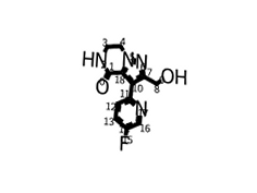 O=C1NCCn2nc(CO)c(-c3ccc(F)cn3)c21